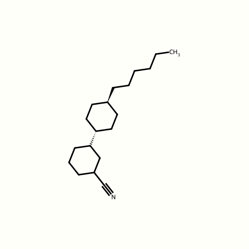 CCCCCC[C@H]1CC[C@H](C2CCCC(C#N)C2)CC1